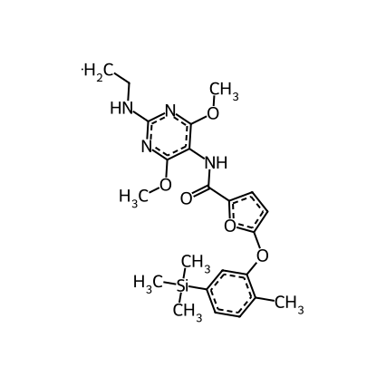 [CH2]CNc1nc(OC)c(NC(=O)c2ccc(Oc3cc([Si](C)(C)C)ccc3C)o2)c(OC)n1